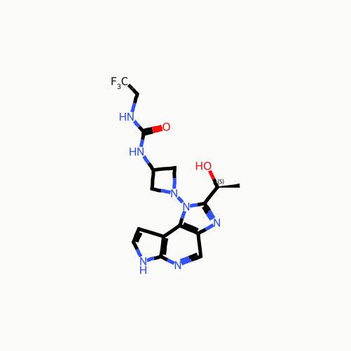 C[C@H](O)c1nc2cnc3[nH]ccc3c2n1N1CC(NC(=O)NCC(F)(F)F)C1